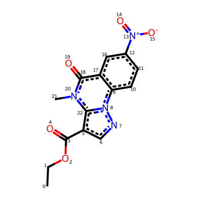 CCOC(=O)c1cnn2c3ccc([N+](=O)[O-])cc3c(=O)n(C)c12